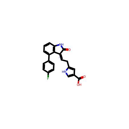 O=C1Nc2cccc(-c3ccc(F)cc3)c2/C1=C/Cc1cc(C(=O)O)c[nH]1